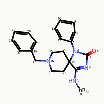 CCCCNC1=NC(=O)N(c2ccccc2)C12CCN(Cc1ccccc1)CC2